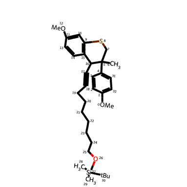 COc1ccc(C2(C)CSc3cc(OC)ccc3C2C#CCCCCCCCO[Si](C)(C)C(C)(C)C)cc1